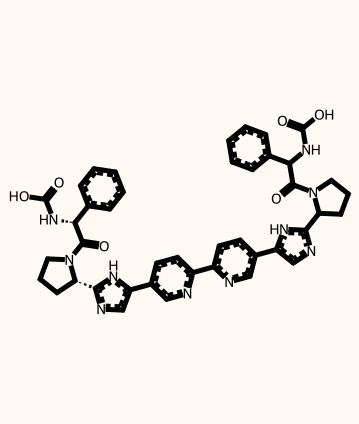 O=C(O)NC(C(=O)N1CCCC1c1ncc(-c2ccc(-c3ccc(-c4cnc([C@@H]5CCCN5C(=O)[C@H](NC(=O)O)c5ccccc5)[nH]4)cn3)nc2)[nH]1)c1ccccc1